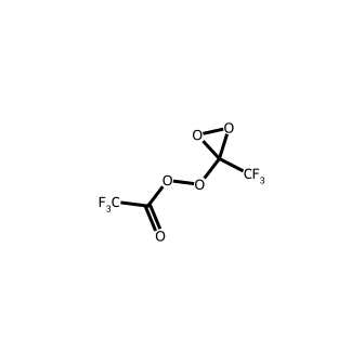 O=C(OOC1(C(F)(F)F)OO1)C(F)(F)F